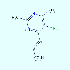 Cc1nc(C)c(F)c(/C=C/C(=O)O)n1